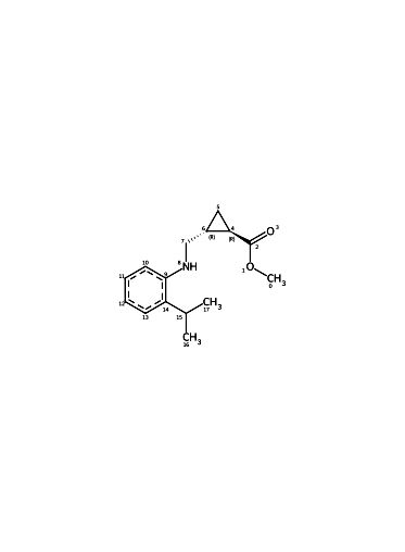 COC(=O)[C@@H]1C[C@H]1CNc1ccccc1C(C)C